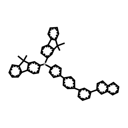 CC1(C)c2ccccc2-c2ccc(N(c3ccc(-c4ccc(-c5cccc(-c6ccc7ccccc7c6)c5)cc4)cc3)c3ccc4c(c3)C(C)(C)c3ccccc3-4)cc21